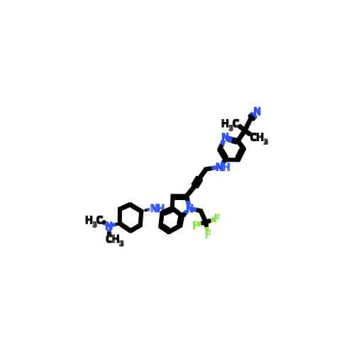 CN(C)[C@H]1CC[C@H](Nc2cccc3c2cc(C#CCNc2ccc(C(C)(C)C#N)nc2)n3CC(F)(F)F)CC1